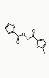 Cc1ccc(C(=O)OOC(=O)c2cccs2)s1